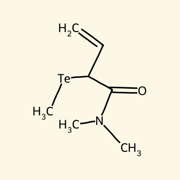 C=CC([Te]C)C(=O)N(C)C